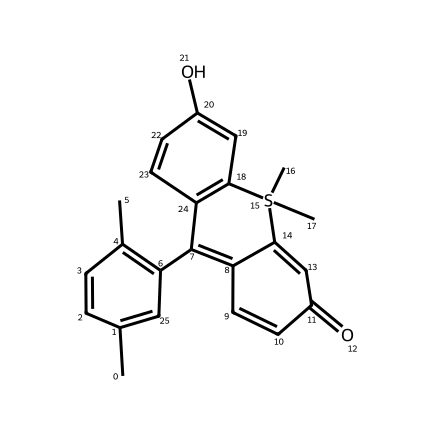 Cc1ccc(C)c(C2=C3C=CC(=O)C=C3S(C)(C)c3cc(O)ccc32)c1